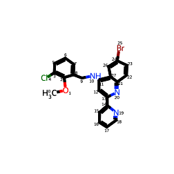 COc1c(Cl)cccc1CNc1cc(-c2ccccn2)nc2ccc(Br)cc12